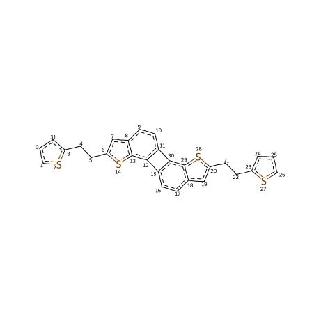 c1csc(CCc2cc3ccc4c(c3s2)-c2ccc3cc(CCc5cccs5)sc3c2-4)c1